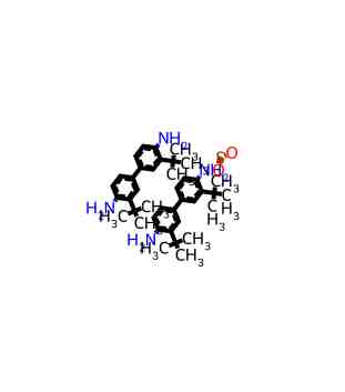 CC(C)(C)c1cc(-c2ccc(N)c(C(C)(C)C)c2)ccc1N.CC(C)(C)c1cc(-c2ccc(N)c(C(C)(C)C)c2)ccc1N.O=S=O